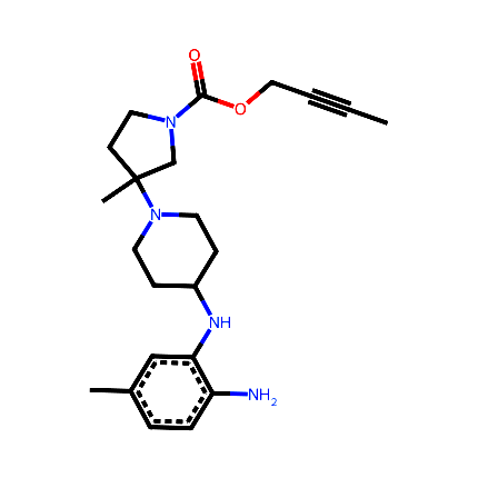 CC#CCOC(=O)N1CCC(C)(N2CCC(Nc3cc(C)ccc3N)CC2)C1